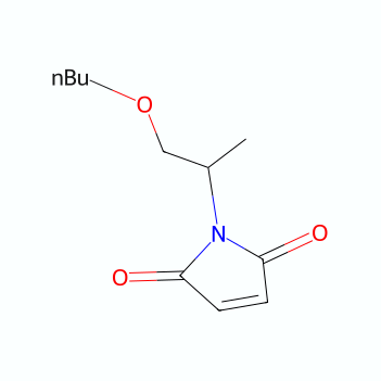 CCCCOCC(C)N1C(=O)C=CC1=O